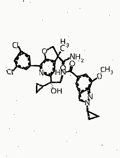 COc1cc(C(=O)NC[C@](O)(c2cc3c(c(-c4cc(Cl)cc(Cl)c4)n2)OC[C@]3(C)C(N)=O)C2CC2)cc2cn(C3CC3)nc12